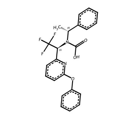 C[C@H](c1ccccc1)N(C(=O)O)[C@@H](c1cccc(Oc2ccccc2)n1)C(F)(F)F